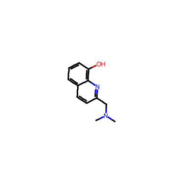 CN(C)Cc1ccc2cccc(O)c2n1